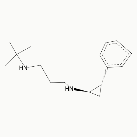 CC(C)(C)NCCCN[C@@H]1C[C@H]1c1ccccc1